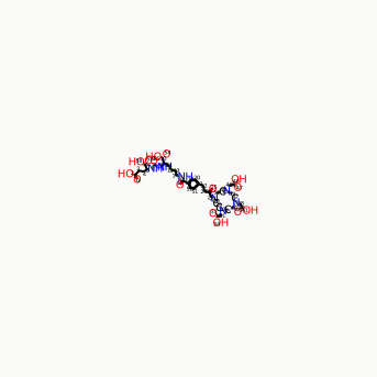 O=C(O)CCC(NC(=O)NC(CCCCNC(=O)c1ccc(CCC(=O)CN2CCN(CC(=O)O)CCN(CC(=O)O)CCN(CC(=O)O)CC2)cc1)C(=O)O)C(=O)O